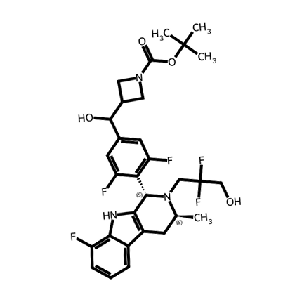 C[C@H]1Cc2c([nH]c3c(F)cccc23)[C@H](c2c(F)cc(C(O)C3CN(C(=O)OC(C)(C)C)C3)cc2F)N1CC(F)(F)CO